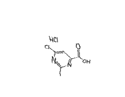 Cc1nc(Cl)cc(C(=O)O)n1.Cl